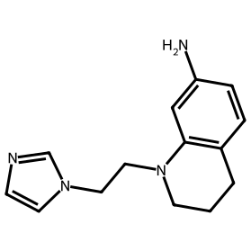 Nc1ccc2c(c1)N(CCn1ccnc1)CCC2